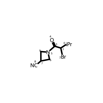 CC(C)C(Br)C(=O)N1CC(C#N)C1